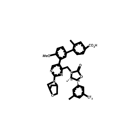 COc1ccc(-c2ccc(C(=O)O)cc2C)cc1-c1cnc(N2CC3CC2CO3)nc1CN1C(=O)O[C@H](c2cc(C)cc(C(F)(F)F)c2)[C@@H]1C